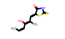 C\C=C/C(O)=C(C)/C=C1\SC(=S)NC1=O